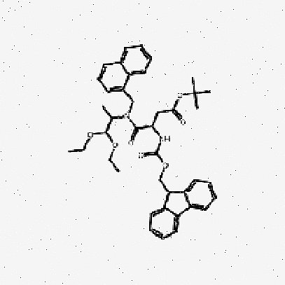 CCOC(OCC)C(C)N(Cc1cccc2ccccc12)C(=O)C(CC(=O)OC(C)(C)C)NC(=O)OCC1c2ccccc2-c2ccccc21